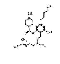 CCCCCc1cc(O)c(C/C=C(\C)CCC=C(C)C)c(OC(=O)N2CCN(C)CC2)c1